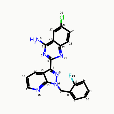 Nc1nc(-c2nn(Cc3ccccc3F)c3ncccc23)nc2ccc(Cl)cc12